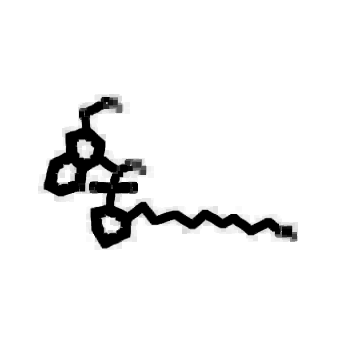 CCCCCCCCCCc1ccccc1S(=O)(=O)N(C)c1cc(OC)cc2cccnc12